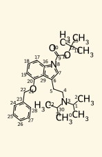 CC(C)N(CCc1cn(C(=O)OC(C)(C)C)c2cccc(OCc3ccccc3)c12)C(C)C